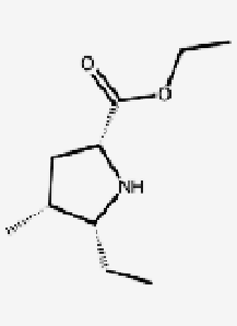 CCOC(=O)[C@H]1C[C@@H](C)[C@@H](CC)N1